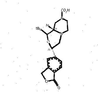 CC(C)(C)C1O[C@@H](c2ccc3c(c2)COC3=O)CN2CCN(C(=O)O)C[C@@H]12